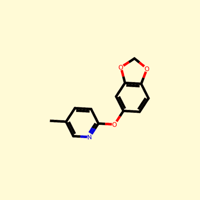 Cc1ccc(Oc2ccc3c(c2)OCO3)nc1